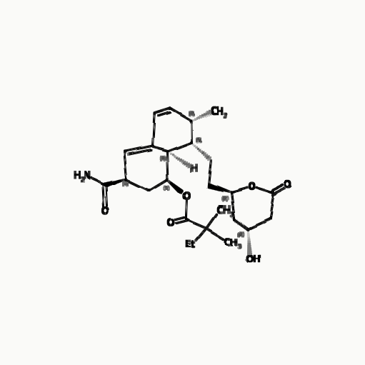 CCC(C)(C)C(=O)O[C@H]1C[C@@H](C(N)=O)C=C2C=C[C@H](C)[C@H](CC[C@@H]3C[C@@H](O)CC(=O)O3)[C@H]21